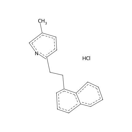 Cc1ccc(CCc2cccc3ccccc23)nc1.Cl